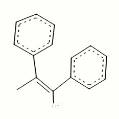 CCCC(=C(C)c1ccccc1)c1ccccc1